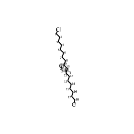 ClCCCCCCCCCCCCCCCCCCCl.[SiH3]Cl